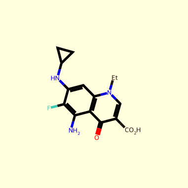 CCn1cc(C(=O)O)c(=O)c2c(N)c(F)c(NC3CC3)cc21